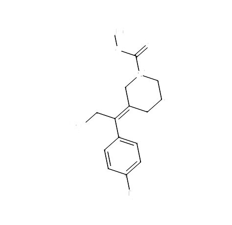 CC(C)(C)OC(=O)N1CCCC(=C(CC(=O)O)c2ccc(F)cc2)C1